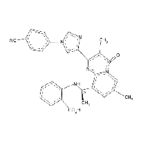 Cc1cc([C@@H](C)Nc2ccccc2C(=O)O)c2nc(-c3cn(-c4ccc(C#N)cc4)cn3)c(C)c(=O)n2c1